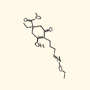 CCON=CCCCC1=C(O)CC(CC)(C(=O)OC)CC1=O